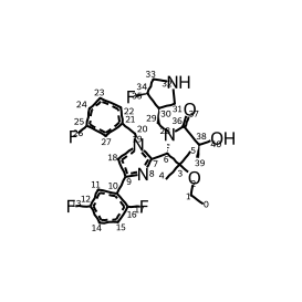 CCOC(C)(C)[C@H](c1nc(-c2cc(F)ccc2F)cn1Cc1cccc(F)c1)N(C[C@@H]1CNC[C@@H]1F)C(=O)[C@H](C)O